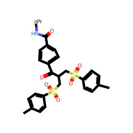 CCCNC(=O)c1ccc(C(=O)C(CS(=O)(=O)c2ccc(C)cc2)CS(=O)(=O)c2ccc(C)cc2)cc1